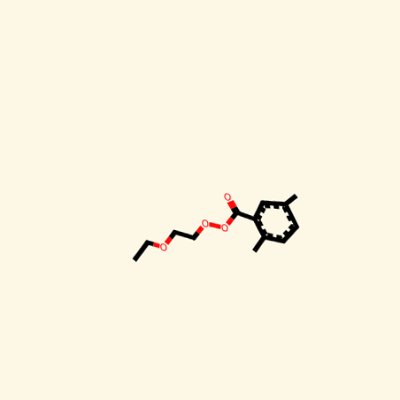 CCOC[CH]OOC(=O)c1cc(C)ccc1C